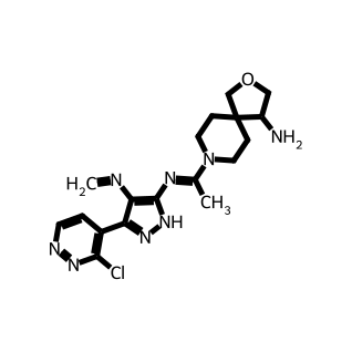 C=Nc1c(-c2ccnnc2Cl)n[nH]c1/N=C(\C)N1CCC2(CC1)COCC2N